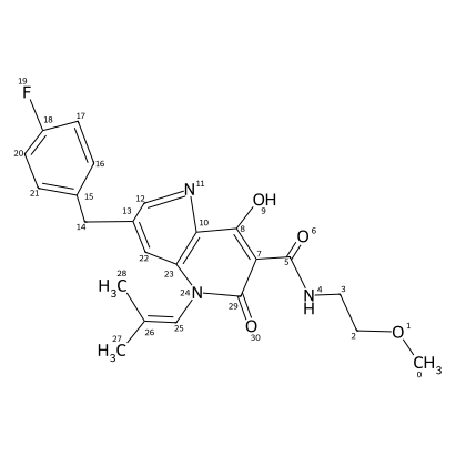 COCCNC(=O)c1c(O)c2ncc(Cc3ccc(F)cc3)cc2n(C=C(C)C)c1=O